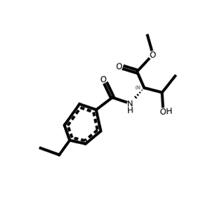 CCc1ccc(C(=O)N[C@H](C(=O)OC)C(C)O)cc1